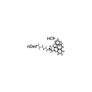 CCCCCCCCCCCCCCCCN1CCC(=C2c3ccccc3C=Cc3ccccc32)CC1.Cl